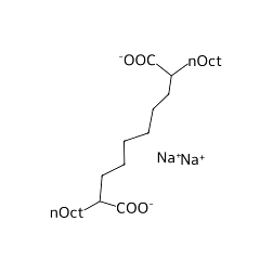 CCCCCCCCC(CCCCCCC(CCCCCCCC)C(=O)[O-])C(=O)[O-].[Na+].[Na+]